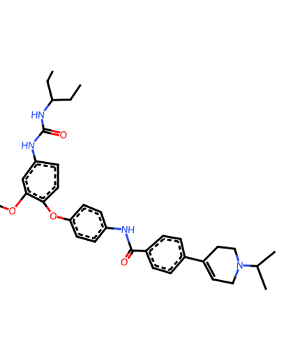 CCC(CC)NC(=O)Nc1ccc(Oc2ccc(NC(=O)c3ccc(C4=CCN(C(C)C)CC4)cc3)cc2)c(OC)c1